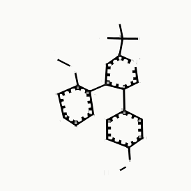 COc1ccc(-c2cnc(C(F)(F)F)cc2-c2ccccc2OC)cc1